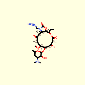 CCC1OC(=O)[C@H](C)C(=O)[C@H](C)[C@@H](OC2OC(C)CC(N(C)C)C2O)[C@@](C)(OC)C[C@@H](C)C(=O)[C@H](C)[C@H]2N(CN=[N+]=[N-])C(=O)O[C@]12C